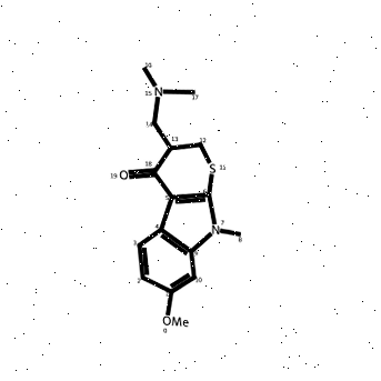 COc1ccc2c3c(n(C)c2c1)SCC(CN(C)C)C3=O